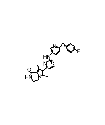 Cc1c(-c2ccnc(Nc3ccc(Oc4ccc(F)cc4)nc3)n2)c(C)n2c1C(=O)NCC2